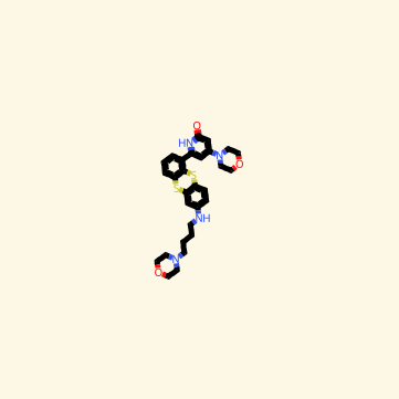 O=c1cc(N2CCOCC2)cc(-c2cccc3c2Sc2ccc(NCCCCN4CCOCC4)cc2S3)[nH]1